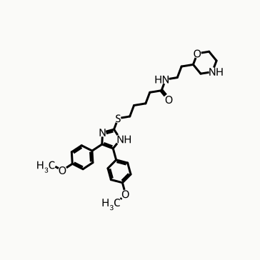 COc1ccc(-c2nc(SCCCCC(=O)NCCC3CNCCO3)[nH]c2-c2ccc(OC)cc2)cc1